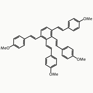 COc1ccc(C=Cc2ccc(C=Cc3ccc(OC)cc3)c(C=Cc3ccc(OC)cc3)c2C=Cc2ccc(OC)cc2)cc1